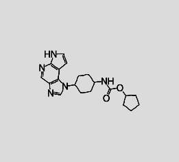 O=C(NC1CCC(n2cnc3cnc4[nH]ccc4c32)CC1)OC1CCCC1